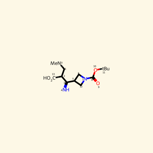 CNCC(C(=N)C1CN(C(=O)OC(C)(C)C)C1)C(=O)O